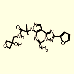 CC(C)(C(=O)NCC1(O)COC1)n1ncc2c1nc(N)n1nc(-c3ccco3)nc21